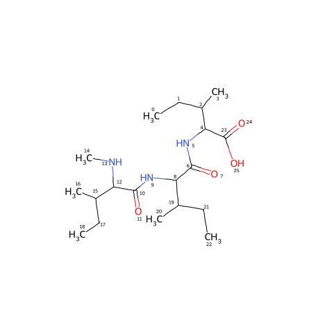 CCC(C)C(NC(=O)C(NC(=O)C(NC)C(C)CC)C(C)CC)C(=O)O